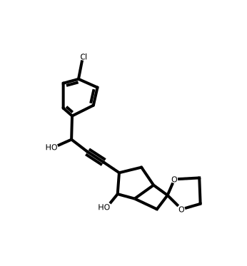 OC(C#CC1CC2C(CC23OCCO3)C1O)c1ccc(Cl)cc1